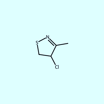 CC1=NSCC1Cl